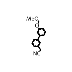 COCOc1cccc(-c2cccc(CC#N)c2)c1